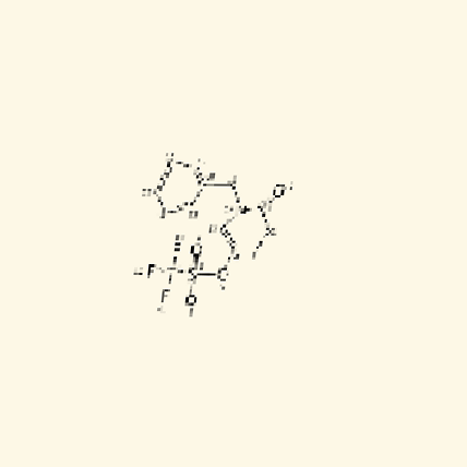 O=C1CCC(OS(=O)(=O)C(F)(F)F)=CN1Cc1ccccc1